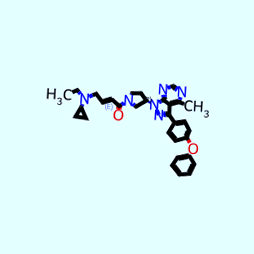 CCN(C/C=C/C(=O)N1CC[C@@H](n2nc(-c3ccc(Oc4ccccc4)cc3)c3c(C)ncnc32)C1)C1CC1